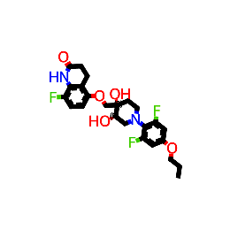 CCCOc1cc(F)c(N2CC[C@@](O)(COc3ccc(F)c4c3CCC(=O)N4)[C@H](O)C2)c(F)c1